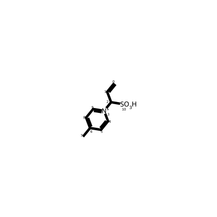 C=CC([n+]1ccc(C)cc1)S(=O)(=O)O